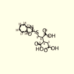 O=C(O)CC(C(=O)O)C(CSc1nc2ccccc2o1)C(=O)O